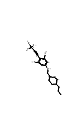 CCCC1CCC(COc2cc(F)c(C#CC(F)(F)F)c(F)c2)CC1